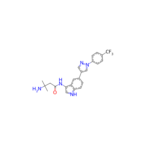 CC(C)(N)CC(=O)Nc1c[nH]c2ccc(-c3cnn(-c4ccc(C(F)(F)F)cc4)c3)cc12